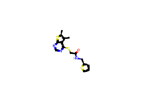 Cc1sc2ncnc(SCC(=O)NCc3cccs3)c2c1C